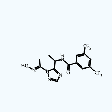 C/C(=N\O)n1ncnc1C(C)NC(=O)c1cc(C(F)(F)F)cc(C(F)(F)F)c1